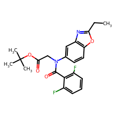 CCc1nc2cc(N(CC(=O)OC(C)(C)C)C(=O)c3c(F)cccc3F)ccc2o1